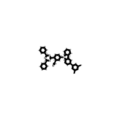 Cc1cc(C)cc(-c2ccc3c(c2)c2ccccc2n3-c2ccc(-c3nc(-c4ccccc4)nc(-c4ccccc4)n3)c(C#N)c2)c1